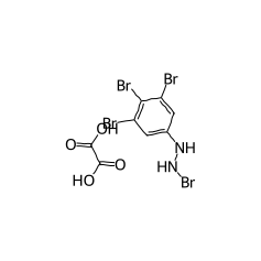 BrNNc1cc(Br)c(Br)c(Br)c1.O=C(O)C(=O)O